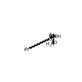 CC(=O)N(O)[C@@H](CCC(N)=O)C(=O)OCCCCCCCCCCCCCCCC(C)C